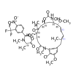 COc1cc2cc(c1Cl)N(C)C(=O)C[C@H](OC(=O)[C@H](C)N(C)C(=O)c1ccc([N+](=O)[O-])c(C(F)(F)F)c1)[C@]1(C)O[C@H]1[C@H](C)[C@@H]1C[C@@](O)(NC(=O)O1)[C@H](OC)/C=C/C=C(\C)C2